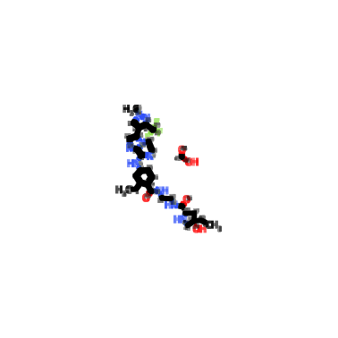 CCc1cc(Nc2nccn3c(-c4cn(C)nc4C(F)(F)F)cnc23)ccc1C(=O)NCCNC(=O)[C@@H]1C[C@@](O)(CC)CN1.O=CO